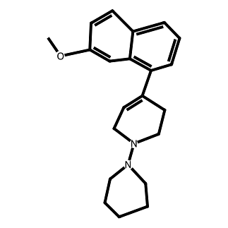 COc1ccc2cccc(C3=CCN(N4CCCCC4)CC3)c2c1